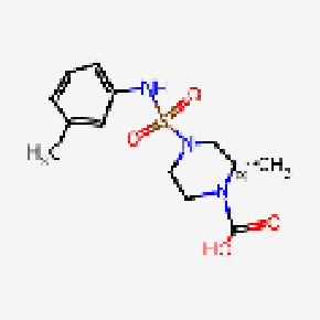 Cc1cccc(NS(=O)(=O)N2CCN(C(=O)O)[C@@H](C)C2)c1